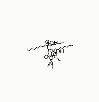 CCCCCCCCCC(CCCCCCC)(CC(COC(=O)OCCN(CC)CC)CC(CCCCCCC)(CCCCCCCCC)C(=O)O)C(=O)O